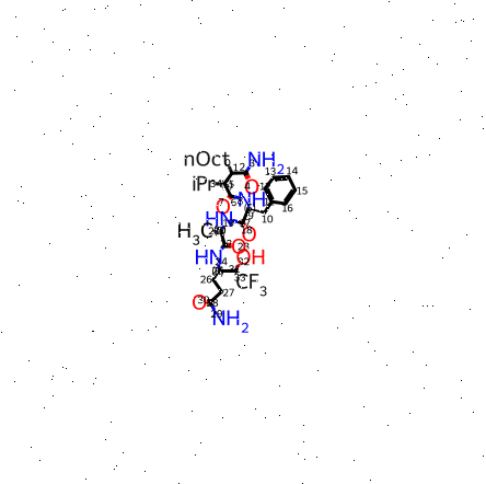 CCCCCCCCC(C(N)=O)[C@@H](C(=O)N[C@@H](Cc1ccccc1)C(=O)N[C@@H](C)C(=O)N[C@H](CCC(N)=O)C(O)C(F)(F)F)C(C)C